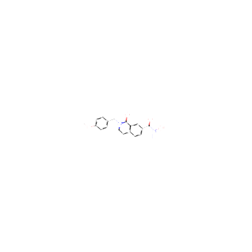 COc1ccc(Cn2ccc3ccc(C(=O)NO)cc3c2=O)cc1